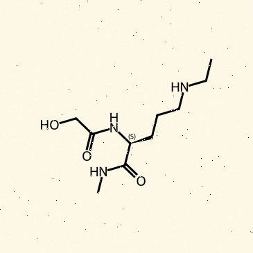 CCNCCC[C@H](NC(=O)CO)C(=O)NC